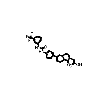 O=C(O)CC1CCC2CC(c3ccc(NC(=O)Nc4cccc(C(F)(F)F)c4)cc3)CCC2C1=O